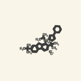 C[C](C)=[Zr+2]([C]1=CC(C2CCCCC2)=CC1)[c]1c(C(C)(C)C)ccc2c1Cc1cc(C(C)(C)C)ccc1-2.[Cl-].[Cl-]